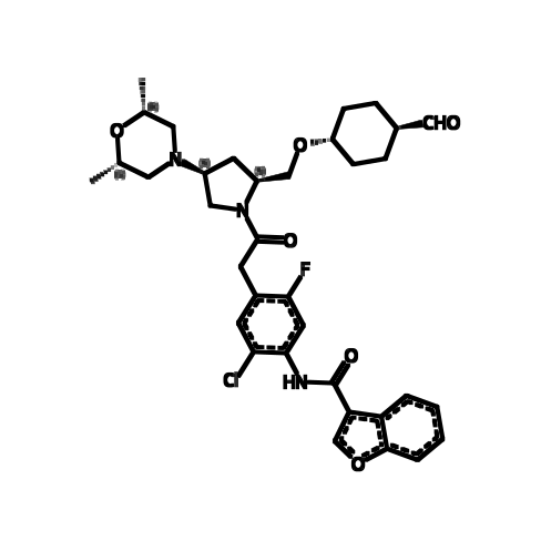 C[C@@H]1CN([C@H]2C[C@@H](CO[C@H]3CC[C@H](C=O)CC3)N(C(=O)Cc3cc(Cl)c(NC(=O)c4coc5ccccc45)cc3F)C2)C[C@H](C)O1